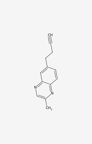 C#CCCc1ccc2nc(C)cnc2c1